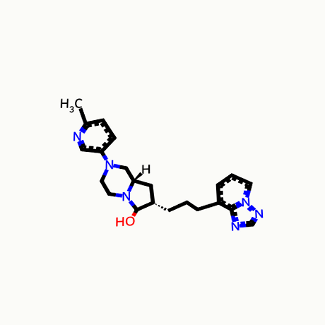 Cc1ccc(N2CCN3C(O)[C@@H](CCCc4cccn5ncnc45)C[C@H]3C2)cn1